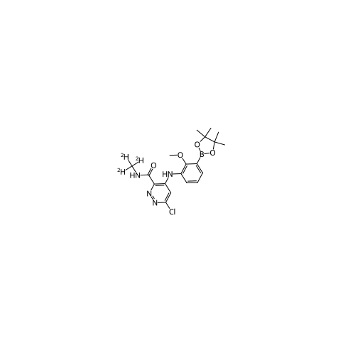 [2H]C([2H])([2H])NC(=O)c1nnc(Cl)cc1Nc1cccc(B2OC(C)(C)C(C)(C)O2)c1OC